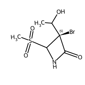 CC(O)[C@]1(Br)C(=O)NC1S(C)(=O)=O